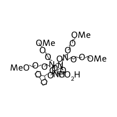 COCCOCCOCCN(CCOCCOCCOC)C(=O)CN(CC(=O)N(CCOCCOCCOC)CCOCCOCCOC)C(=O)C[C@H](NC(=O)OCC1c2ccccc2-c2ccccc21)C(=O)O